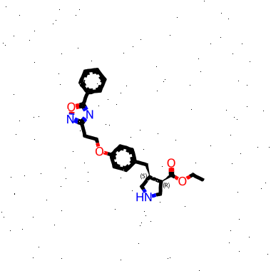 CCOC(=O)[C@H]1CNC[C@H]1Cc1ccc(OCCc2noc(-c3ccccc3)n2)cc1